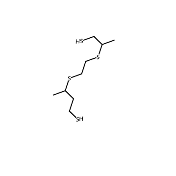 CC(CS)SCCSC(C)CCS